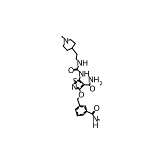 CNC(=O)c1cccc(COc2nsc(NC(=O)NCCC3CCN(C)CC3)c2C(N)=O)c1